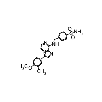 COc1ccc(-c2cnc3c(NCc4ccc(S(N)(=O)=O)cc4)nccn23)cc1C